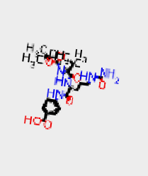 CC(C)[C@H](NC(=O)OC(C)(C)C)C(=O)N[C@@H](CCCNC(N)=O)C(=O)Nc1ccc(C(=O)O)cc1